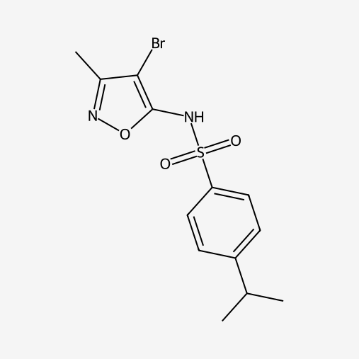 Cc1noc(NS(=O)(=O)c2ccc(C(C)C)cc2)c1Br